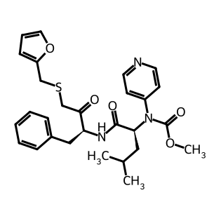 COC(=O)N(c1ccncc1)[C@@H](CC(C)C)C(=O)N[C@@H](Cc1ccccc1)C(=O)CSCc1ccco1